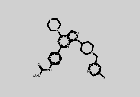 CNC(=O)Nc1ccc(-c2nc(N3CCOCC3)c3cnn(C4CCN(Cc5cncc(Br)c5)CC4)c3n2)cc1